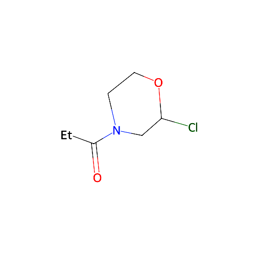 CCC(=O)N1CCOC(Cl)C1